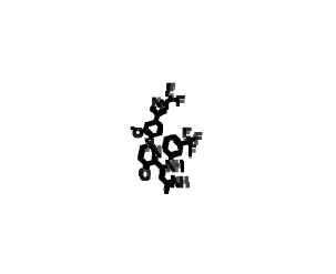 COc1cc(-c2cnn(C(F)F)c2)ccc1-n1ccc(=O)c(/C(=C/C(C)=N)Nc2cccc(C(F)(F)F)c2)n1